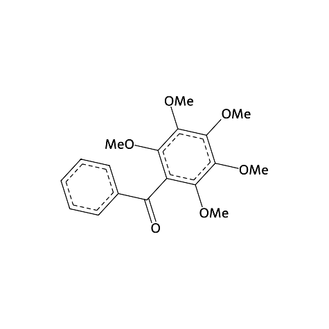 COc1c(OC)c(OC)c(C(=O)c2ccccc2)c(OC)c1OC